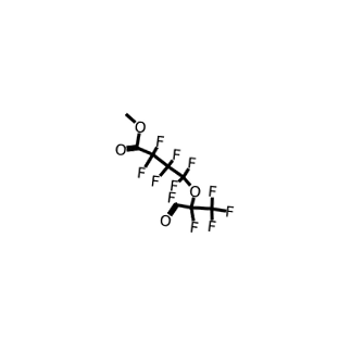 COC(=O)C(F)(F)C(F)(F)C(F)(F)OC(F)(C(=O)F)C(F)(F)F